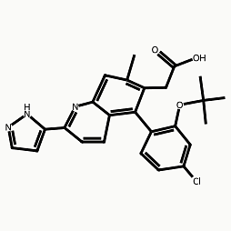 Cc1cc2nc(-c3ccn[nH]3)ccc2c(-c2ccc(Cl)cc2OC(C)(C)C)c1CC(=O)O